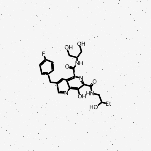 CCC(O)CNC(=O)c1nc(C(=O)NC(CO)CO)c2cc(Cc3ccc(F)cc3)cnc2c1O